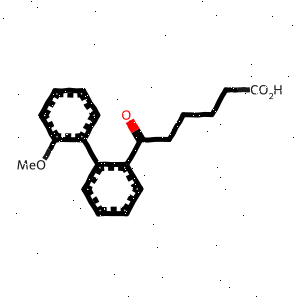 COc1ccccc1-c1ccccc1C(=O)CCCCC(=O)O